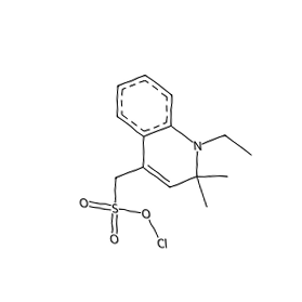 CCN1c2ccccc2C(CS(=O)(=O)OCl)=CC1(C)C